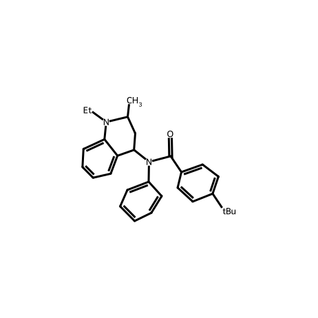 CCN1c2ccccc2C(N(C(=O)c2ccc(C(C)(C)C)cc2)c2ccccc2)CC1C